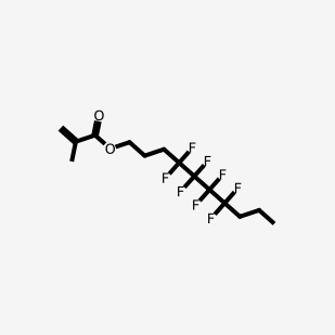 C=C(C)C(=O)OCCCC(F)(F)C(F)(F)C(F)(F)C(F)(F)CCC